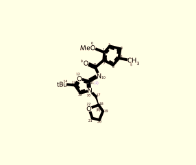 COc1ccc(C)cc1C(=O)/N=c1\oc(C(C)(C)C)cn1C[C@H]1CCCO1